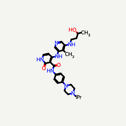 Cc1c(NCCC(C)O)cncc1Nc1cc[nH]c(=O)c1C(=O)Nc1ccc(N2CCN(C(C)C)CC2)cc1